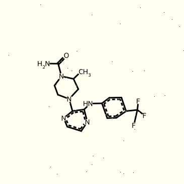 CC1CN(c2nccnc2Nc2ccc(C(F)(F)F)cc2)CCN1C(N)=O